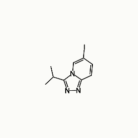 CC(C)c1nnc2ccc(I)cn12